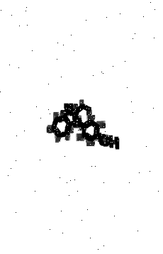 CCc1nc2ccccc2n1-c1ccc(O)cc1